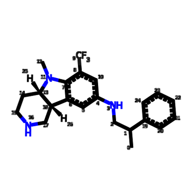 CC(CNc1cc2c(c(C(F)(F)F)c1)N(C)[C@H]1CCNC[C@@H]21)c1ccccc1